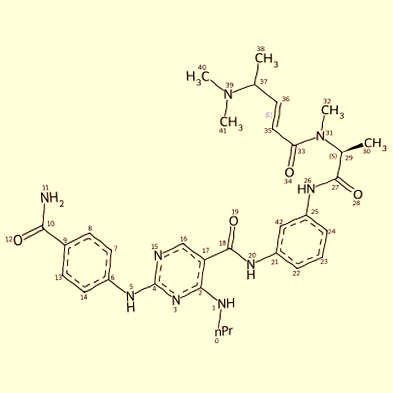 CCCNc1nc(Nc2ccc(C(N)=O)cc2)ncc1C(=O)Nc1cccc(NC(=O)[C@H](C)N(C)C(=O)/C=C/C(C)N(C)C)c1